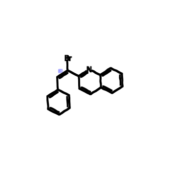 Br/C(=C/c1ccccc1)c1ccc2ccccc2n1